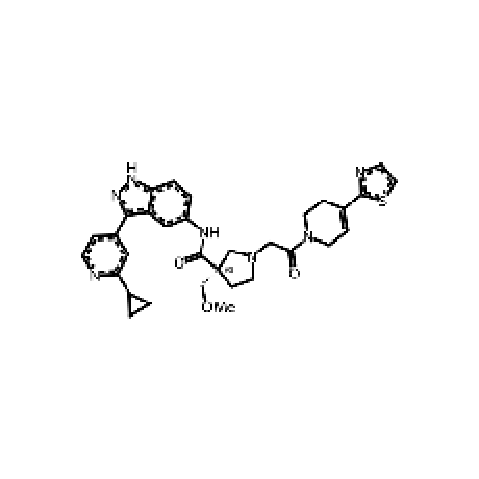 COC[C@@]1(C(=O)Nc2ccc3[nH]nc(-c4ccnc(C5CC5)c4)c3c2)CCN(CC(=O)N2CC=C(c3nccs3)CC2)C1